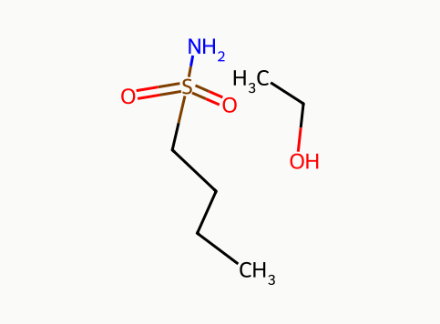 CCCCS(N)(=O)=O.CCO